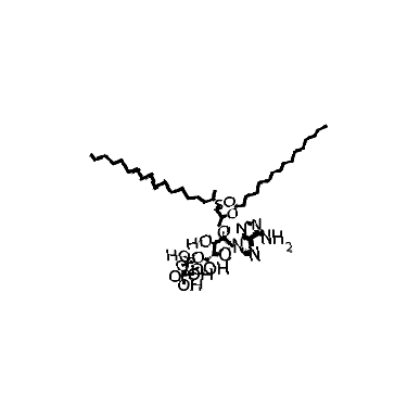 CCCCCCCCCCCCCCCCC(C)SCC(CO[C@H]1[C@H](O)[C@@H](C(O)OP(=O)(O)OP(=O)(O)O)O[C@H]1n1cnc2c(N)ncnc21)OC(=O)CCCCCCCCCCCCCCC